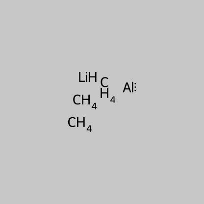 C.C.C.[Al].[LiH]